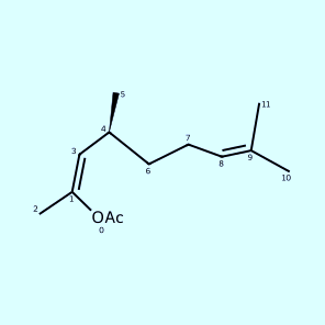 CC(=O)O/C(C)=C\[C@@H](C)CCC=C(C)C